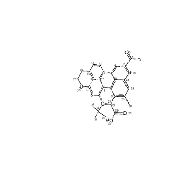 CC(=O)c1ccc2c(-c3ccc4c5c(ccnc35)CCO4)c([C@H](OC(C)(C)C)C(=O)O)c(C)cc2n1